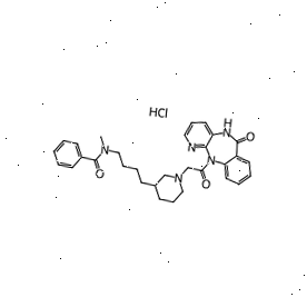 CN(CCCCC1CCCN(CC(=O)N2c3ccccc3C(=O)Nc3cccnc32)C1)C(=O)c1ccccc1.Cl